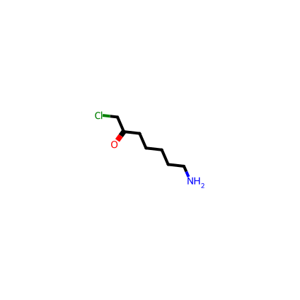 NCCCCCC(=O)CCl